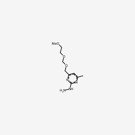 COCCOCOCc1cc(C)nc(NN)n1